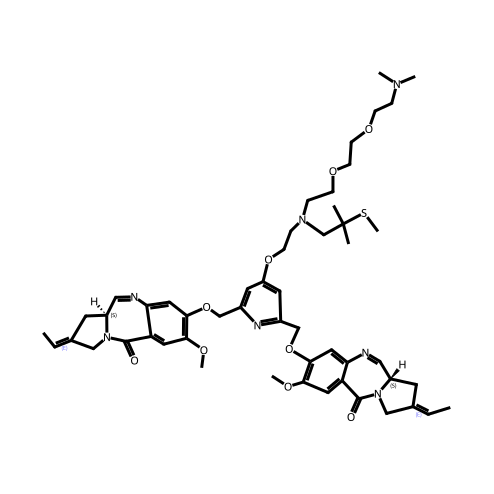 C/C=C1\C[C@H]2C=Nc3cc(OCc4cc(OCCN(CCOCCOCCN(C)C)CC(C)(C)SC)cc(COc5cc6c(cc5OC)C(=O)N5C/C(=C/C)C[C@H]5C=N6)n4)c(OC)cc3C(=O)N2C1